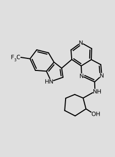 OC1CCCCC1Nc1ncc2cncc(-c3c[nH]c4cc(C(F)(F)F)ccc34)c2n1